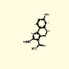 CC(=O)Nc1sc2c(c1C(N)=O)CCc1cc(C(C)(C)C)ccc1-2